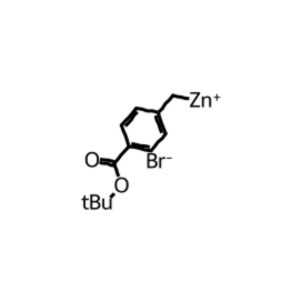 CC(C)(C)OC(=O)c1ccc([CH2][Zn+])cc1.[Br-]